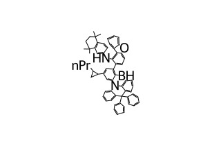 CCCC1CC1c1cc(-c2ccc3oc4ccccc4c3c2Nc2ccc3c(c2)C(C)(C)CCC3(C)C)c2c(c1)N1c3ccccc3C(c3ccccc3)(c3ccccc3)c3cccc(c31)B2